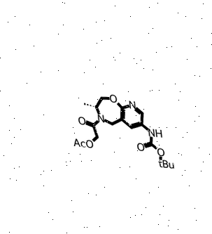 CC(=O)OCC(=O)N1Cc2cc(NC(=O)OC(C)(C)C)cnc2OC[C@H]1C